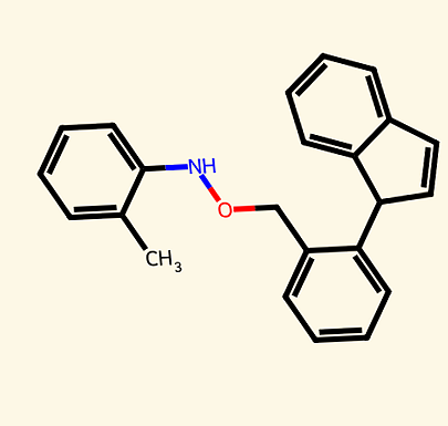 Cc1ccccc1NOCc1ccccc1C1C=Cc2ccccc21